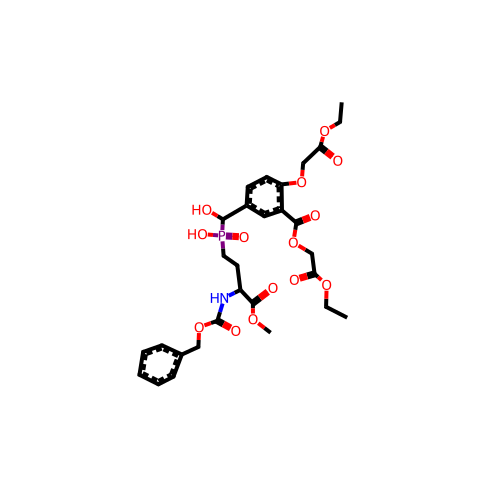 CCOC(=O)COC(=O)c1cc(C(O)P(=O)(O)CCC(NC(=O)OCc2ccccc2)C(=O)OC)ccc1OCC(=O)OCC